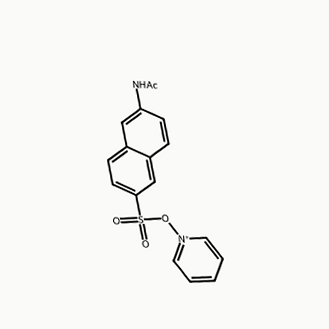 CC(=O)Nc1ccc2cc(S(=O)(=O)O[n+]3ccccc3)ccc2c1